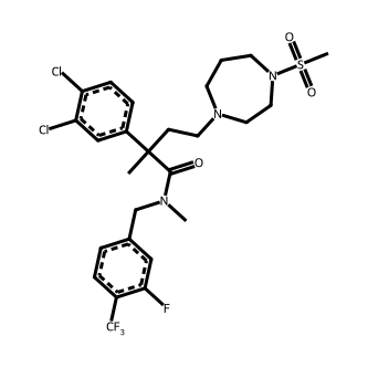 CN(Cc1ccc(C(F)(F)F)c(F)c1)C(=O)C(C)(CCN1CCCN(S(C)(=O)=O)CC1)c1ccc(Cl)c(Cl)c1